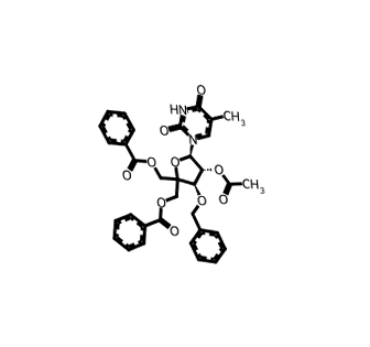 CC(=O)O[C@H]1[C@H](n2cc(C)c(=O)[nH]c2=O)OC(COC(=O)c2ccccc2)(COC(=O)c2ccccc2)[C@@H]1OCc1ccccc1